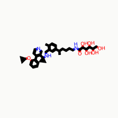 Cc1ccc(C(C)CCCCNC(=O)C(O)C(O)C(O)C(O)CO)cc1CNC1(c2cnccc2-c2ccccc2OC2CC2)CC1